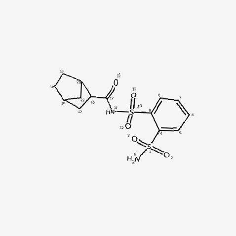 NS(=O)(=O)c1ccccc1S(=O)(=O)NC(=O)C1CC2CCC1C2